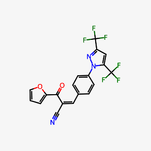 N#CC(=Cc1ccc(-n2nc(C(F)(F)F)cc2C(F)(F)F)cc1)C(=O)c1ccco1